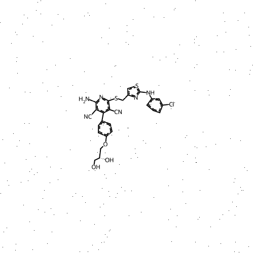 N#Cc1c(N)nc(SCc2csc(Nc3cccc(Cl)c3)n2)c(C#N)c1-c1ccc(OC[C@H](O)CO)cc1